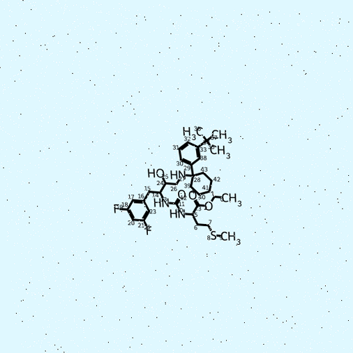 CCOC(=O)C(CCSC)NC(=O)NC(Cc1cc(F)cc(F)c1)C(O)CNC1(c2cccc(C(C)(C)C)c2)CCCCC1